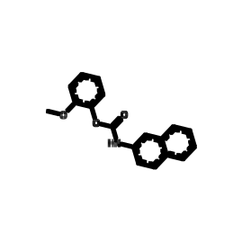 COc1ccccc1OC(=O)Nc1ccc2ccccc2c1